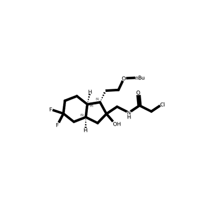 CCCCOCC[C@H]1[C@@H]2CCC(F)(F)C[C@@H]2CC1(O)CNC(=O)CCl